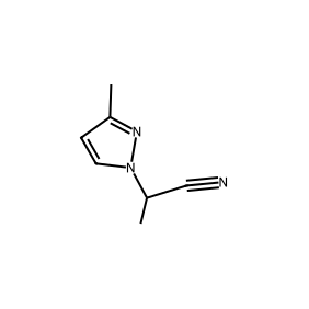 Cc1ccn(C(C)C#N)n1